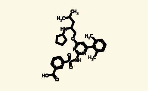 Cc1cccc(C)c1-c1cc(OCC(CC(C)C)NC2CCCC2)nc(NS(=O)(=O)c2cccc(C(=O)O)c2)n1